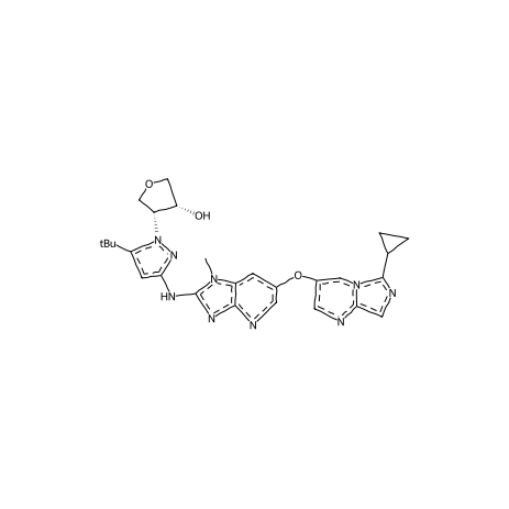 Cn1c(Nc2cc(C(C)(C)C)n([C@@H]3COC[C@@H]3O)n2)nc2ncc(Oc3cnc4cnc(C5CC5)n4c3)cc21